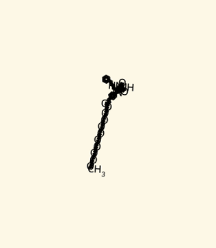 COCCOCCOCCOCCOCCOCCOCCOCCOCCOC(=O)/C=C/c1ccc(-c2nc3c(=O)[nH]c(=O)[nH]c3n2CCCCC2CCCCC2)cc1